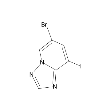 Brc1cc(I)c2ncnn2c1